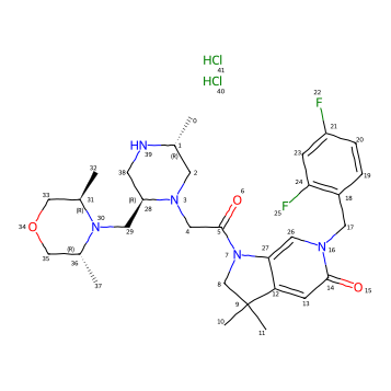 C[C@@H]1CN(CC(=O)N2CC(C)(C)c3cc(=O)n(Cc4ccc(F)cc4F)cc32)[C@@H](CN2[C@H](C)COC[C@H]2C)CN1.Cl.Cl